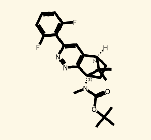 CN(C(=O)OC(C)(C)C)[C@]12CC[C@H](c3cc(-c4c(F)cccc4F)nnc31)C2(C)C